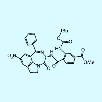 COC(=O)c1ccc(C(=O)N[C@@H]2N=C(c3ccccc3)c3cc([N+](=O)[O-])cc4c3N(CC4)C2=O)c(NC(=O)OC(C)(C)C)c1